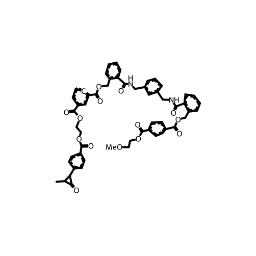 COCCOC(=O)c1ccc(C(=O)OCc2ccccc2C(=O)NCc2cccc(CNC(=O)c3ccccc3COC(=O)c3cccc(C(=O)OCCOC(=O)c4ccc(C5C(=O)C5C)cc4)c3)c2)cc1